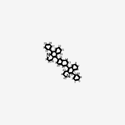 c1ccc(-c2c3ccccc3c(-c3ccc4cc(-c5c6ccccc6c(-c6ccccc6)c6ncccc56)ccc4c3)c3cccnc23)cc1